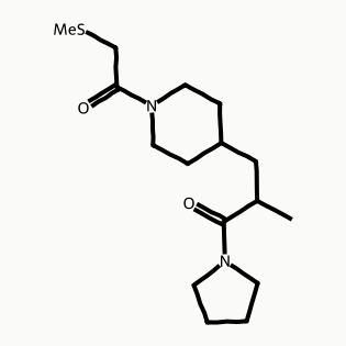 CSCC(=O)N1CCC(CC(C)C(=O)N2CCCC2)CC1